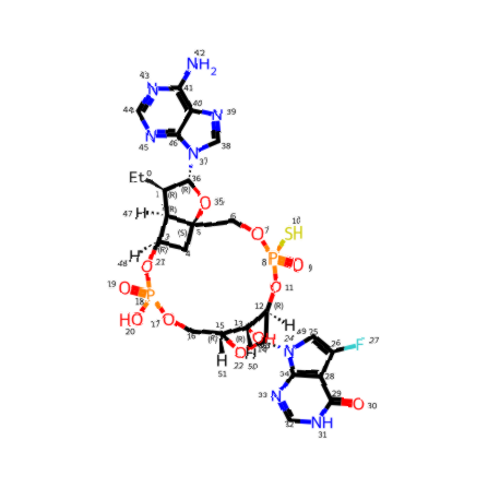 CC[C@@H]1[C@@H]2[C@H]3C[C@]2(COP(=O)(S)O[C@@H]2[C@H](O)[C@@H](COP(=O)(O)O3)O[C@H]2n2cc(F)c3c(=O)[nH]cnc32)O[C@H]1n1cnc2c(N)ncnc21